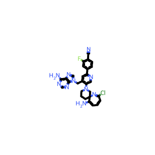 N#Cc1ccc(-c2cc(Cn3cnc4c(N)ncnc43)c(N3CCCC4(C3)N=C(Cl)C=CC=C4N)cn2)cc1F